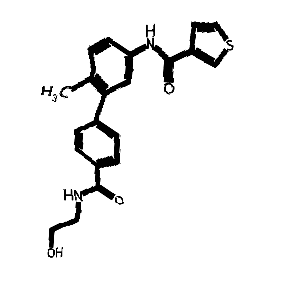 Cc1ccc(NC(=O)c2ccsc2)cc1-c1ccc(C(=O)NCCO)cc1